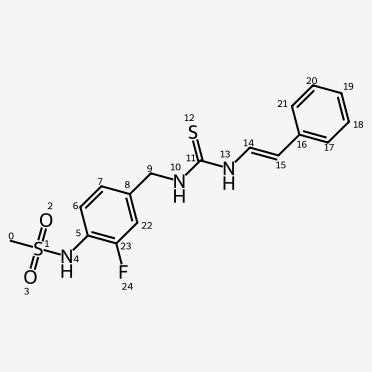 CS(=O)(=O)Nc1ccc(CNC(=S)NC=Cc2ccccc2)cc1F